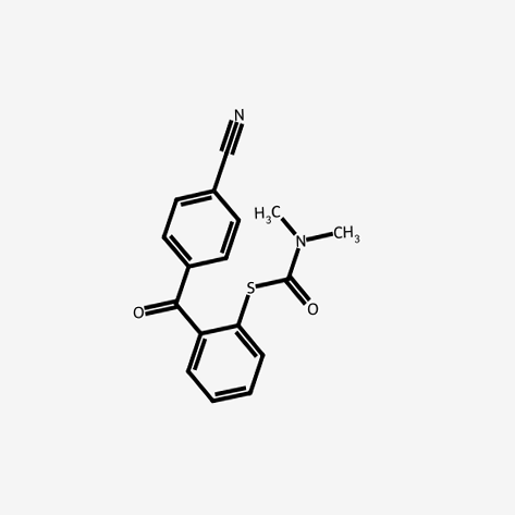 CN(C)C(=O)Sc1ccccc1C(=O)c1ccc(C#N)cc1